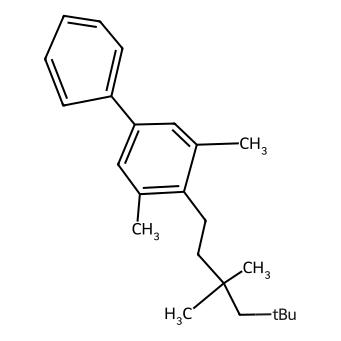 Cc1cc(-c2ccccc2)cc(C)c1CCC(C)(C)CC(C)(C)C